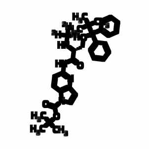 [2H]C([2H])([2H])N[C@H](CO[Si](c1ccccc1)(c1ccccc1)C(C)(C)C)C(=O)Nc1ccc2c(ccn2C(=O)OC(C)(C)C)n1